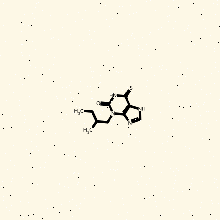 CCC(C)Cn1c(=O)[nH]c(=S)c2[nH]cnc21